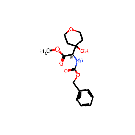 COC(=O)[C@H](NC(=O)OCc1ccccc1)C1(O)CCOCC1